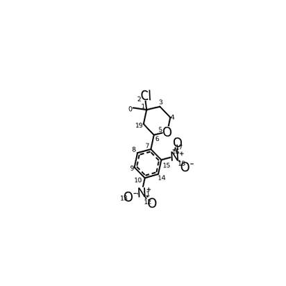 CC1(Cl)CCOC(c2ccc([N+](=O)[O-])cc2[N+](=O)[O-])C1